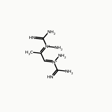 CC(C=[N+](N)C(=N)N)=[N+](N)C(=N)N